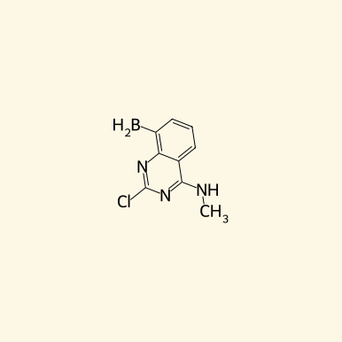 Bc1cccc2c(NC)nc(Cl)nc12